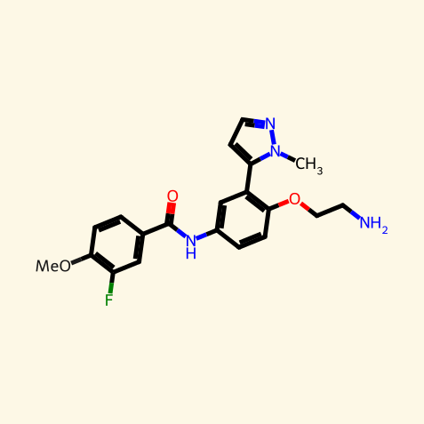 COc1ccc(C(=O)Nc2ccc(OCCN)c(-c3ccnn3C)c2)cc1F